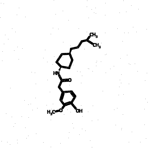 COc1cc(CC(=O)N[C@H]2CC[C@H](CCCC(C)C)CC2)ccc1O